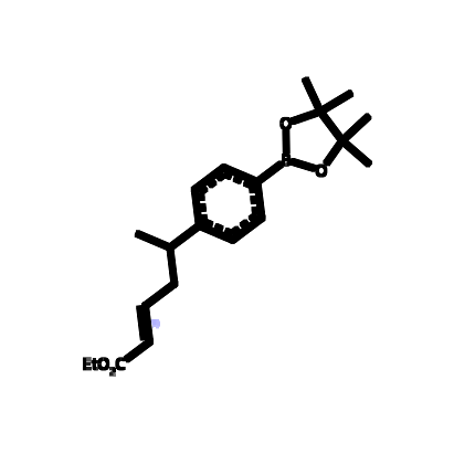 CCOC(=O)/C=C/CC(C)c1ccc(B2OC(C)(C)C(C)(C)O2)cc1